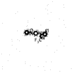 O=C(N[C@H]1CC[C@@H](Nc2cc(C(F)(F)F)nc3ccc(Cl)cc23)CC1)c1ccccc1